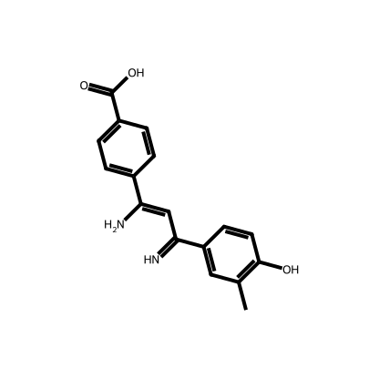 Cc1cc(C(=N)/C=C(\N)c2ccc(C(=O)O)cc2)ccc1O